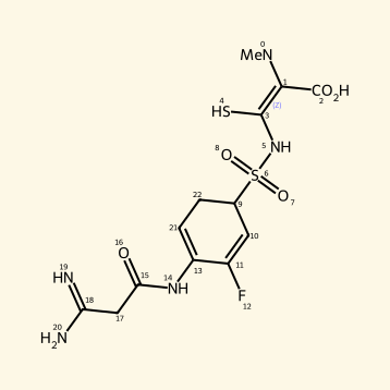 CN/C(C(=O)O)=C(\S)NS(=O)(=O)C1C=C(F)C(NC(=O)CC(=N)N)=CC1